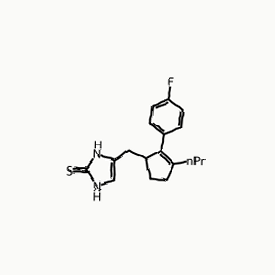 CCCC1=C(c2ccc(F)cc2)C(Cc2c[nH]c(=S)[nH]2)CC1